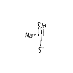 C#C[S-].[Na+]